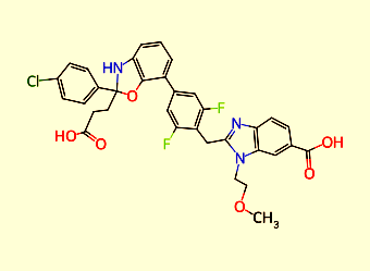 COCCn1c(Cc2c(F)cc(-c3cccc4c3OC(CCC(=O)O)(c3ccc(Cl)cc3)N4)cc2F)nc2ccc(C(=O)O)cc21